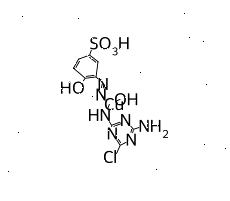 Nc1nc(Cl)nc([NH][Cu]([OH])[N]=Nc2cc(S(=O)(=O)O)ccc2O)n1